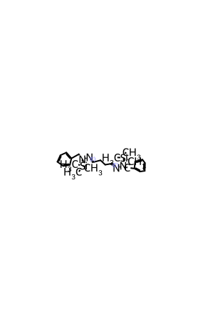 C[Si](C)(C)N(Cc1ccccc1)/N=C/CC/C=N/N(Cc1ccccc1)[Si](C)(C)C